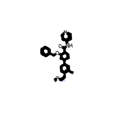 C=N/C=C\c1ccc(-c2ccc(C(=O)Nc3ccncc3)c(OCc3ccccc3)c2)cc1C